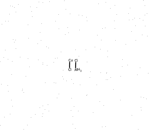 [AlH2][Cl].[Cl][Cu]